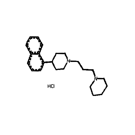 Cl.c1ccc2c(C3CCN(CCCN4CCCCC4)CC3)cccc2c1